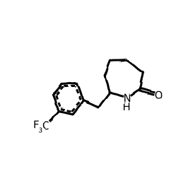 O=C1CCCCC(Cc2cccc(C(F)(F)F)c2)N1